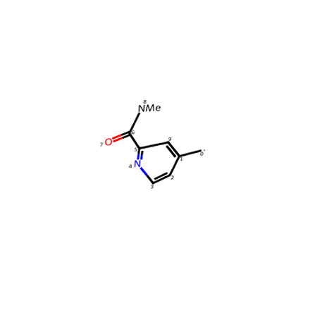 [CH2]c1ccnc(C(=O)NC)c1